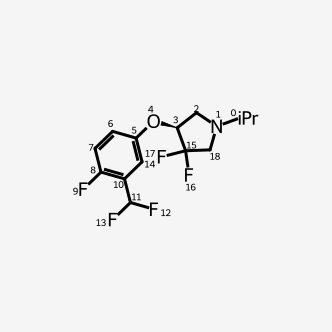 CC(C)N1C[C@H](Oc2ccc(F)c(C(F)F)c2)C(F)(F)C1